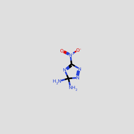 NC1(N)N=NC([N+](=O)[O-])=N1